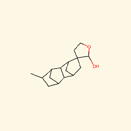 CC1CC2CC1C1C2C2CC1C1(CCOC1O)C2